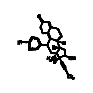 CC#C[C@@]1(O)[C@H](O)C[C@H]2[C@@H]3CCC4=CC(=O)CCC4=C3C(c3ccc(C(C)C)cc3)C[C@@]21C